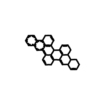 C1=CC2C=C3C4=C5C(=c6cc7ccccc7c7c6=C(C=CC7)C5C5=C3C(CC=C5)C2CC1)C=CC4